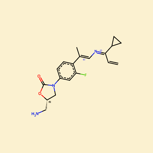 C=C/C(=N\C=C(/C)c1ccc(N2C[C@H](CN)OC2=O)cc1F)C1CC1